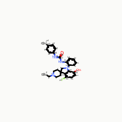 CC(C)(C)CN1CCC2(CC1)CN(c1ccccc1NC(=O)Nc1ccc(C(C)(C)C)cc1)c1c(O)ccc(F)c12